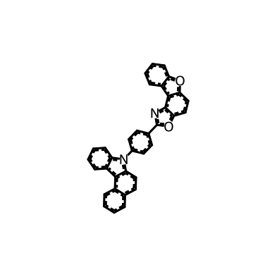 c1ccc2c(c1)ccc1c2c2ccccc2n1-c1ccc(-c2nc3c(ccc4oc5ccccc5c43)o2)cc1